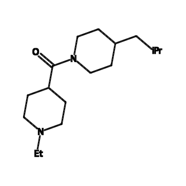 CCN1CCC(C(=O)N2CCC(CC(C)C)CC2)CC1